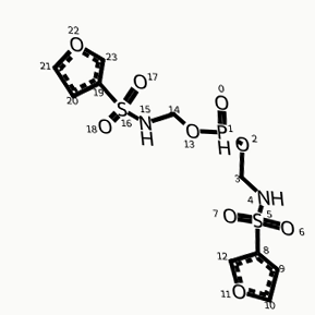 O=[PH](OCNS(=O)(=O)c1ccoc1)OCNS(=O)(=O)c1ccoc1